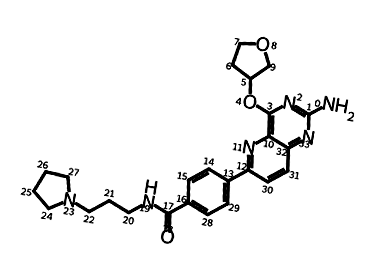 Nc1nc(OC2CCOC2)c2nc(-c3ccc(C(=O)NCCCN4CCCC4)cc3)ccc2n1